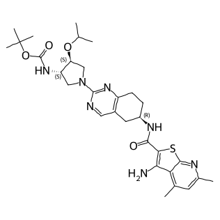 Cc1cc(C)c2c(N)c(C(=O)N[C@@H]3CCc4nc(N5C[C@H](NC(=O)OC(C)(C)C)[C@@H](OC(C)C)C5)ncc4C3)sc2n1